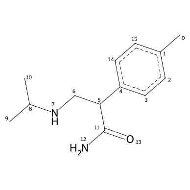 Cc1ccc(C(CNC(C)C)C(N)=O)cc1